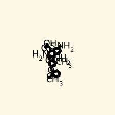 COc1ccccc1Oc1ccc(C2(N)C(=O)C(N)C3c4c2ccc(N)c4SC3C(=O)O)c(C)c1